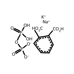 O=C(O)c1ccccc1C(=O)O.O=P([O-])([O-])OP(=O)(O)O.[K+].[Na+]